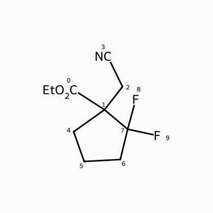 CCOC(=O)C1(CC#N)CCCC1(F)F